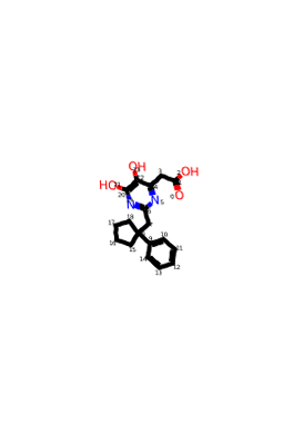 O=C(O)Cc1nc(CC2(c3ccccc3)CCCC2)nc(O)c1O